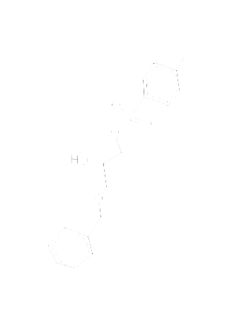 Cc1ccc(S(=O)(=O)OC[C@@H](O)COCc2ccccc2)cc1